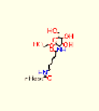 CCCCCCCC(=O)NCCCCCC(=O)N[C@H]1[C@@H](OCCO)O[C@H](CO)[C@@H](O)[C@@H]1O